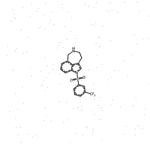 O=S(=O)(c1cccc(C(F)(F)F)c1)n1cc2c3c(cccc31)CNCC2